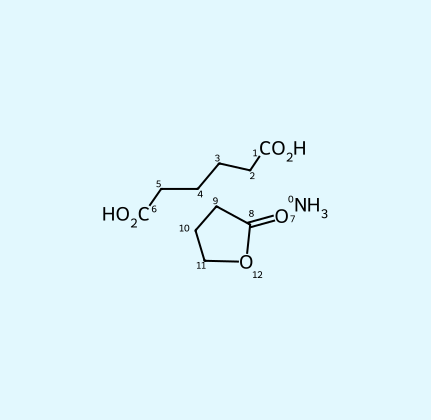 N.O=C(O)CCCCC(=O)O.O=C1CCCO1